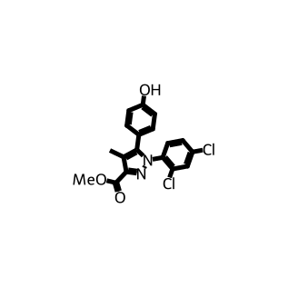 COC(=O)c1nn(-c2ccc(Cl)cc2Cl)c(-c2ccc(O)cc2)c1C